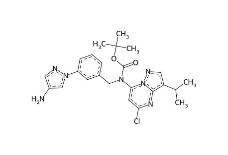 CC(C)c1cnn2c(N(Cc3cccc(-n4cc(N)cn4)c3)C(=O)OC(C)(C)C)cc(Cl)nc12